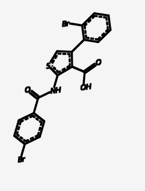 O=C(Nc1scc(-c2ccccc2Br)c1C(=O)O)c1ccc(Br)cc1